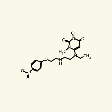 CCN(CCNCCOc1ccc([N+](=O)[O-])cc1)c1cc(=O)n(C)c(=O)n1C